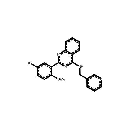 COc1ccc(C#N)cc1-c1nc(NCc2cccnc2)c2ccccc2n1